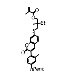 C=C(C)C(=O)OCC(C)(CC)CSc1ccc2cc(-c3ccc(CCCCC)cc3C)c(=O)oc2c1